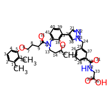 Cc1cccc(OCCCC(=O)N2CCC(C)Oc3c(-c4cnn(Cc5cccc(C(=O)NCC(=O)O)c5)c4)cccc32)c1C